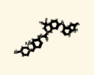 CCN1CCN(Cc2ccc(NC(=O)N3Cc4cc(Oc5ccnc6[nH]c(C)cc56)ccc4C(F)(F)C3)cc2C(F)(F)F)CC1